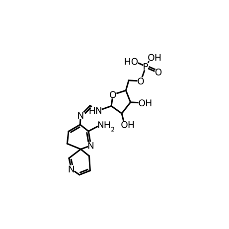 NC1=NC2(C=NC=CC2)CC=C1/N=C\NC1OC(COP(=O)(O)O)C(O)C1O